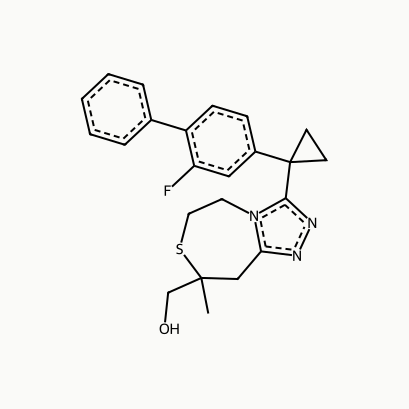 CC1(CO)Cc2nnc(C3(c4ccc(-c5ccccc5)c(F)c4)CC3)n2CCS1